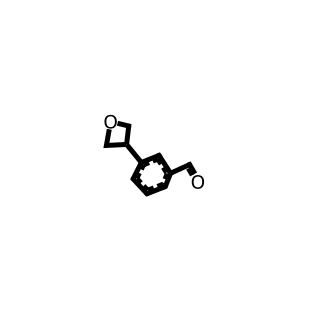 O=Cc1cccc(C2COC2)c1